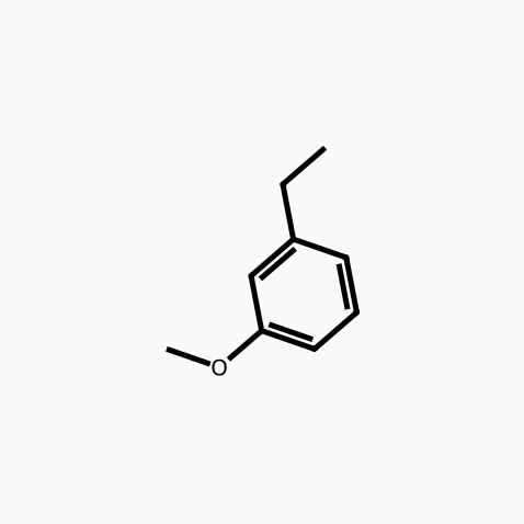 CCc1cccc(OC)c1